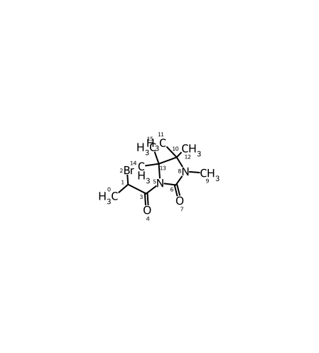 CC(Br)C(=O)N1C(=O)N(C)C(C)(C)C1(C)C